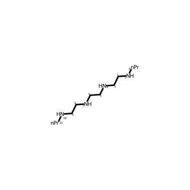 CCCNCCNCCNCCNCCC